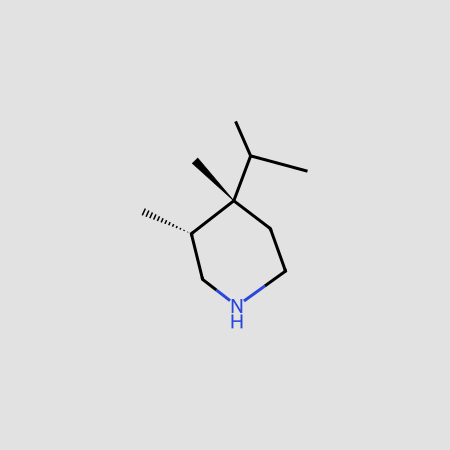 CC(C)[C@]1(C)CCNC[C@@H]1C